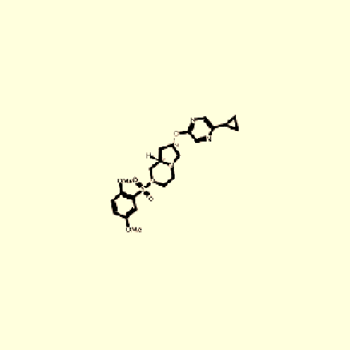 COc1ccc(OC)c(S(=O)(=O)N2CCN3C[C@@H](Oc4cnc(C5CC5)cn4)C[C@H]3C2)c1